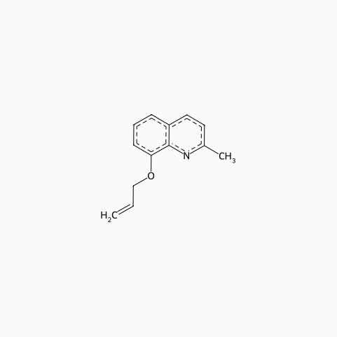 C=CCOc1cccc2ccc(C)nc12